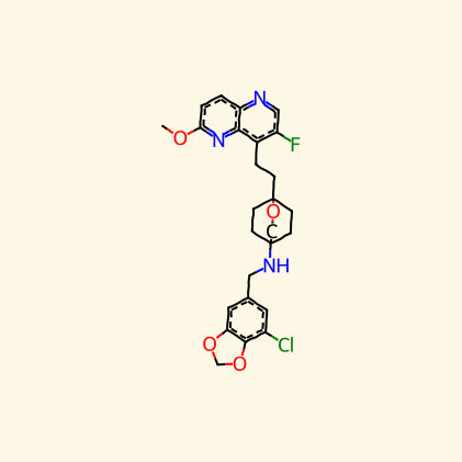 COc1ccc2ncc(F)c(CCC34CCC(NCc5cc(Cl)c6c(c5)OCO6)(CC3)CO4)c2n1